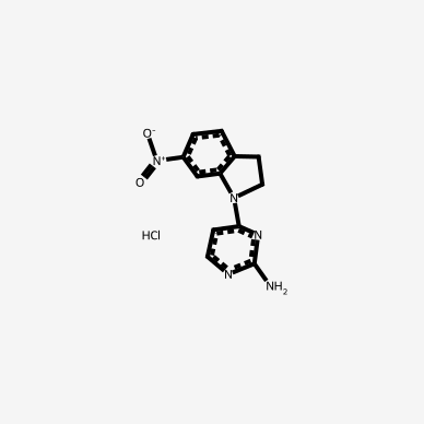 Cl.Nc1nccc(N2CCc3ccc([N+](=O)[O-])cc32)n1